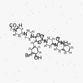 O=C(O)CN1CCC(N2CCN(C(=O)C(Cc3ccc(O)c(Br)c3)OC(=O)N3CCC(N4CCc5ccccc5NC4=O)CC3)CC2)CC1